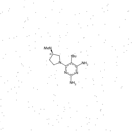 CN[C@@H]1CCN(c2nc(N)nc(N)c2C(C)(C)C)C1